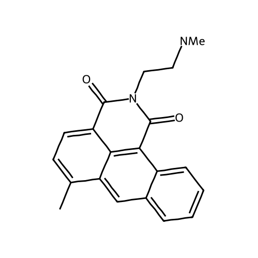 CNCCN1C(=O)c2ccc(C)c3cc4ccccc4c(c23)C1=O